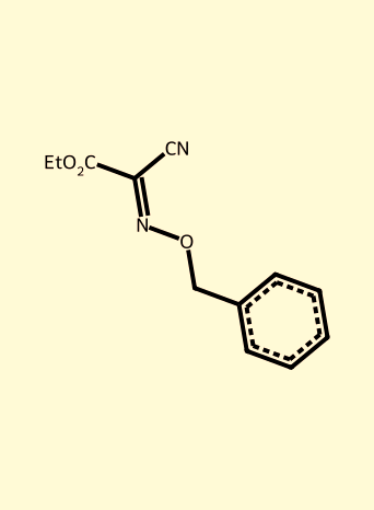 CCOC(=O)C(C#N)=NOCc1ccccc1